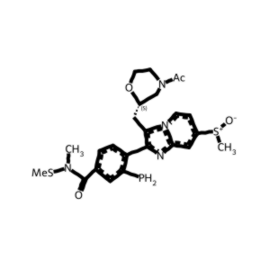 CSN(C)C(=O)c1ccc(-c2nc3cc([S+](C)[O-])ccn3c2C[C@H]2CN(C(C)=O)CCO2)c(P)c1